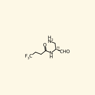 NC[C@@H](C=O)NC(=O)CCC(F)(F)F